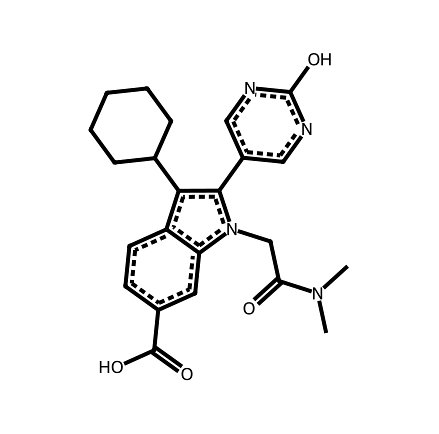 CN(C)C(=O)Cn1c(-c2cnc(O)nc2)c(C2CCCCC2)c2ccc(C(=O)O)cc21